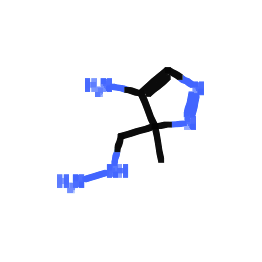 CC1(CNN)N=NC=C1N